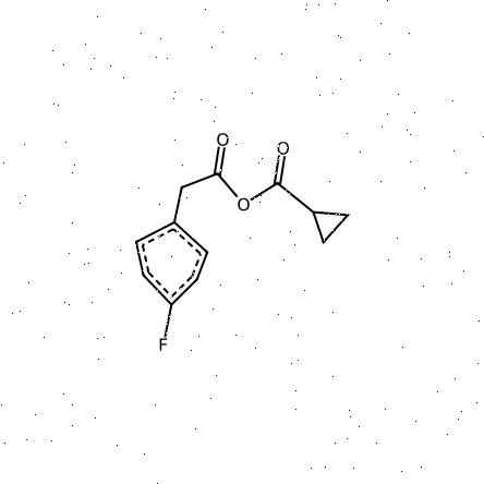 O=C(Cc1ccc(F)cc1)OC(=O)C1CC1